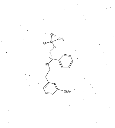 COc1cccc(CCN[C@H](CO[Si](C)(C)C)c2ccccc2)n1